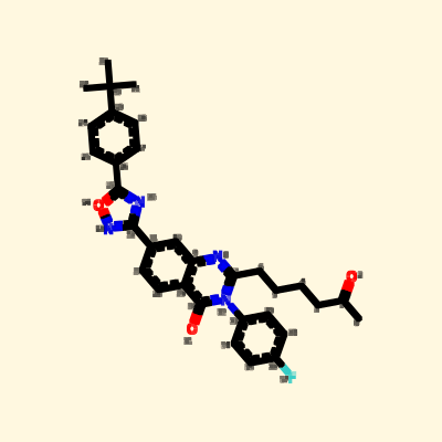 CC(=O)CCCCc1nc2cc(-c3noc(-c4ccc(C(C)(C)C)cc4)n3)ccc2c(=O)n1-c1ccc(F)cc1